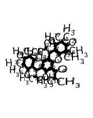 CC(C)C(=O)c1c(O)c2c(c3c1OC1=C(C(=O)C(C)(C)C(=O)C1(C)C)[C@@H]3C(C)C)OC1=C(C(=O)C(C)(C)C(=O)C1(C)C)[C@@H]2C(C)C